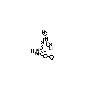 NC(=O)[C@H](Cc1ccc(-c2ccccc2)cc1)NC(=O)CCCOc1cc(-c2cccnc2)nn1-c1ccc(Cl)c(Cl)c1